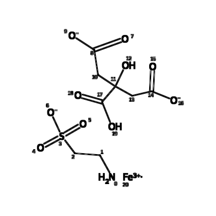 NCCS(=O)(=O)[O-].O=C([O-])CC(O)(CC(=O)[O-])C(=O)O.[Fe+3]